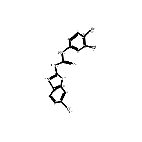 N#Cc1cc(NC(=O)Nc2nc3ccc(C(F)(F)F)cc3s2)ccc1Br